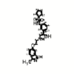 Cc1n[nH]c2cc(OCCNC[C@H](O)c3cccc(NS(=O)(=O)C4CCCC4)c3)ccc12